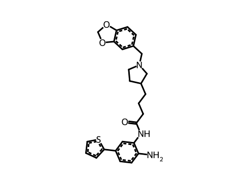 Nc1ccc(-c2cccs2)cc1NC(=O)CCCC1CCN(Cc2ccc3c(c2)OCO3)C1